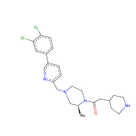 CC(C)(C)[C@H]1CN(Cc2ccc(-c3ccc(Cl)c(Cl)c3)cn2)CCN1C(=O)CC1CCNCC1